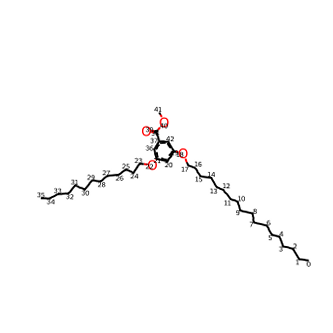 CCCCCCCCCCCCCCCCCCOc1cc(OCCCCCCCCCCCCC)cc(C(=O)OC)c1